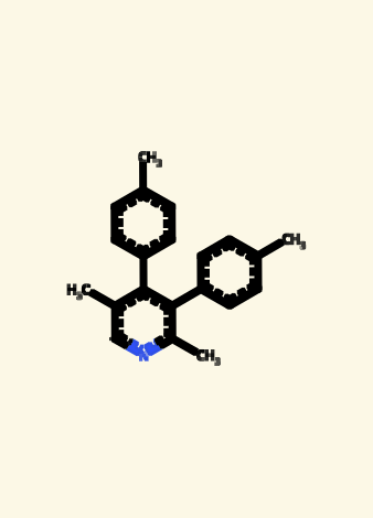 Cc1ccc(-c2c(C)[c]nc(C)c2-c2ccc(C)cc2)cc1